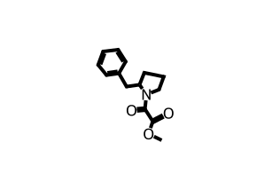 COC(=O)C(=O)N1CCCC1Cc1ccccc1